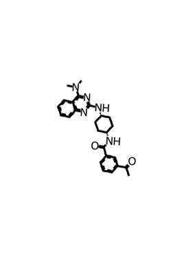 CC(=O)c1cccc(C(=O)N[C@H]2CC[C@@H](Nc3nc(N(C)C)c4ccccc4n3)CC2)c1